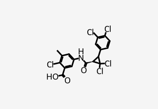 Cc1cc(NC(=O)[C@H]2C(c3ccc(Cl)c(Cl)c3)C2(Cl)Cl)cc(C(=O)O)c1Cl